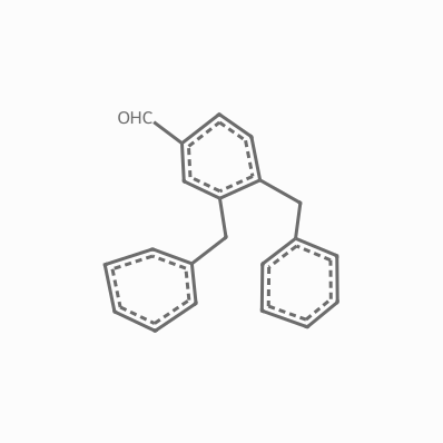 O=Cc1ccc(Cc2ccccc2)c(Cc2ccccc2)c1